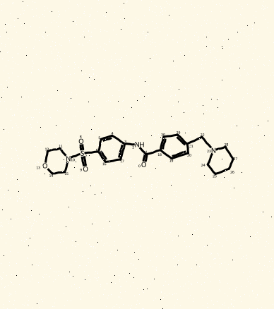 O=C(Nc1ccc(S(=O)(=O)N2CCOCC2)cc1)c1ccc(CN2CCCCC2)cc1